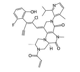 C#C/C(=C(Cl)\C=C1/CN(c2c(C)ccnc2C(C)C)C(=O)C2=C1N1C[C@@H](C)N(C(=O)C=C)C[C@@H]1C(=O)N2C)c1c(O)cccc1F